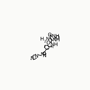 C[C@@H](NC(=O)c1[nH]c(=O)[nH]c(=O)c1N)c1cccc(-c2cnn(CCN3CCN(C)CC3)c2)c1